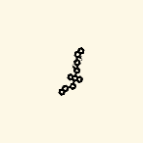 c1cc(-c2ccc3ccccc3c2)cc(-c2c3ccccc3c(-c3ccc4c(c3)sc3cc5c(cc34)sc3c4ccccc4ccc53)c3ccccc23)c1